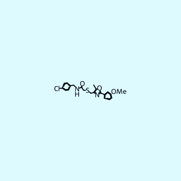 COc1cccc(-c2nc(CSCC(=O)NCc3ccc(Cl)cc3)c(C)o2)c1